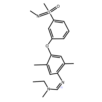 CCN(C)/C=N\c1cc(C)c(Oc2cccc(S(C)(=O)=NC)c2)cc1C